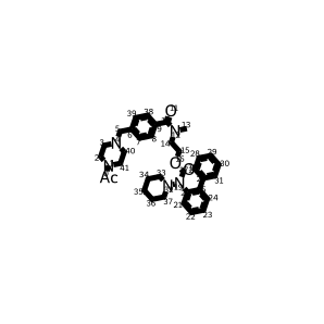 CC(=O)N1CCN(Cc2ccc(C(=O)N(C)CCOC(=O)N(c3ccccc3-c3ccccc3)N3CC[CH]CC3)cc2)CC1